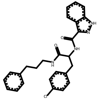 O=C(NC(Cc1ccc(Cl)cc1)C(=O)NCCCc1ccccc1)c1n[nH]c2ccccc12